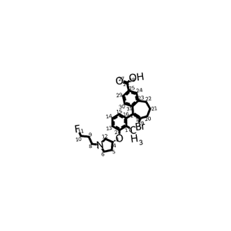 Cc1c(O[C@@H]2CCN(CCCF)C2)cccc1C1=C(Br)CCCc2cc(C(=O)O)ccc21